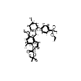 CCOP(C)(=O)c1ccc([C@@H]2C[C@H](C)CCN2Cc2c(OC)cc(C)c3c2ccn3C(=O)OC(C)(C)C)cc1